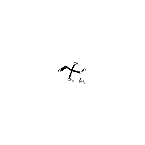 CC(C)(C=O)[S@@+](N)[O-]